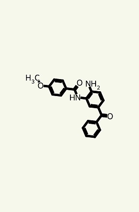 COc1ccc(C(=O)Nc2cc(C(=O)c3ccccc3)ccc2N)cc1